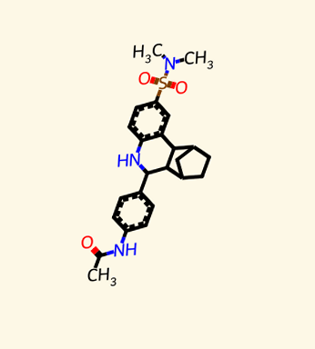 CC(=O)Nc1ccc(C2Nc3ccc(S(=O)(=O)N(C)C)cc3C3C4CCC(C4)C23)cc1